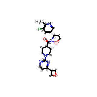 Cc1ncc([C@@H]2CCON2C(=O)C2CCN(c3nccc(C4COC4)n3)CC2)cc1F